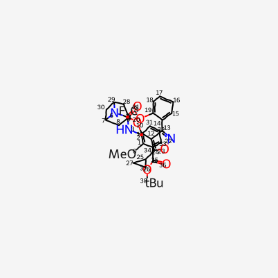 COc1c(NC(=O)N2C3CC(OCc4c(-c5ccccc5OC(F)(F)F)noc4C4CC4)CC2C3)cccc1C(=O)OC(C)(C)C